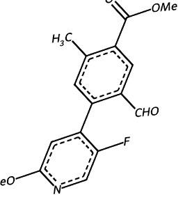 COC(=O)c1cc(C=O)c(-c2cc(OC)ncc2F)cc1C